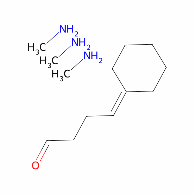 CN.CN.CN.O=CCCC=C1CCCCC1